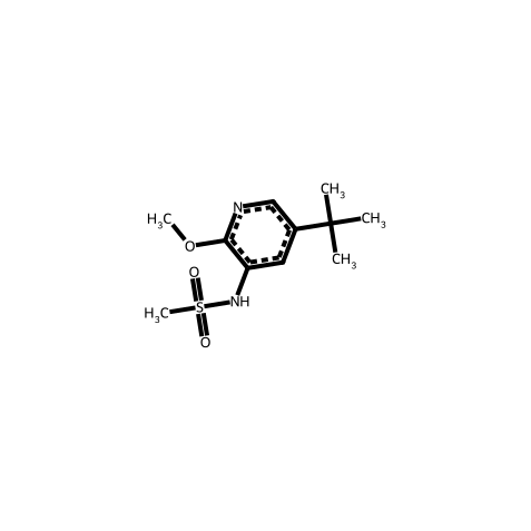 COc1ncc(C(C)(C)C)cc1NS(C)(=O)=O